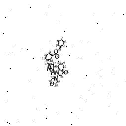 O=C(OCc1ccccc1)c1cccc(Cn2cc(-c3cccc4c(=O)cc(N5CCOCC5)[nH]c34)nn2)c1